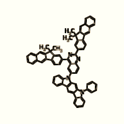 CC1(C)c2cc(-c3nc(-c4ccc5c(c4)C(C)(C)c4cc6ccccc6cc4-5)c4cc(-n5c6ccccc6c6cc7c8ccccc8n(-c8ccccc8)c7cc65)ccc4n3)ccc2-c2cc3ccccc3cc21